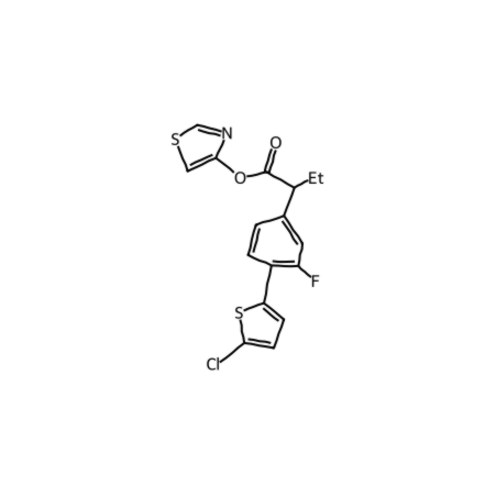 CCC(C(=O)Oc1cscn1)c1ccc(-c2ccc(Cl)s2)c(F)c1